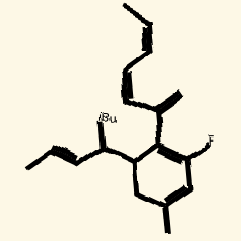 C=C(/C=C\C=C/C)C1=C(F)C=C(C)CC1C(C=CC)C(C)CC